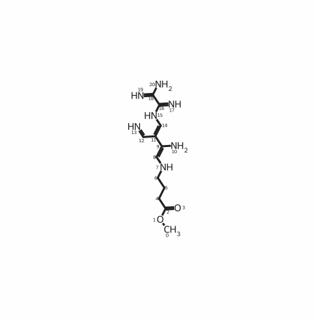 COC(=O)CCCN/C=C(N)/C(C=N)=C/NC(=N)C(=N)N